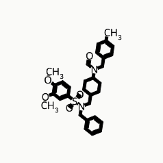 COc1ccc(S(=O)(=O)N(Cc2ccccc2)CC2CCC(N(C=O)Cc3ccc(C)cc3)CC2)cc1OC